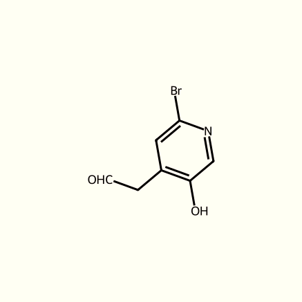 O=CCc1cc(Br)ncc1O